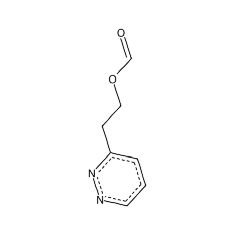 O=COCCc1cccnn1